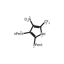 CCCCCc1[nH]c(C(F)(F)F)c([N+](=O)[O-])c1CCCCC